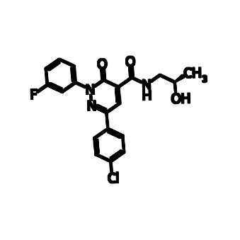 C[C@@H](O)CNC(=O)c1cc(-c2ccc(Cl)cc2)nn(-c2cccc(F)c2)c1=O